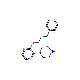 c1ccc(CCCOc2nccnc2N2CCNCC2)cc1